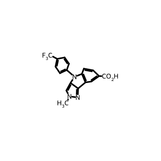 Cn1cc2c(n1)c1cc(C(=O)O)ccc1n2-c1ccc(C(F)(F)F)cc1